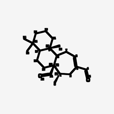 C[C@H]1CC(C=O)=CCC2[C@@]3(C)CCCC(C)(C)C3CC[C@]21C=O